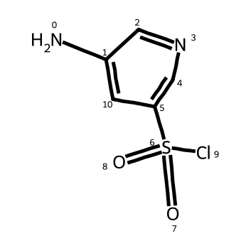 Nc1cncc(S(=O)(=O)Cl)c1